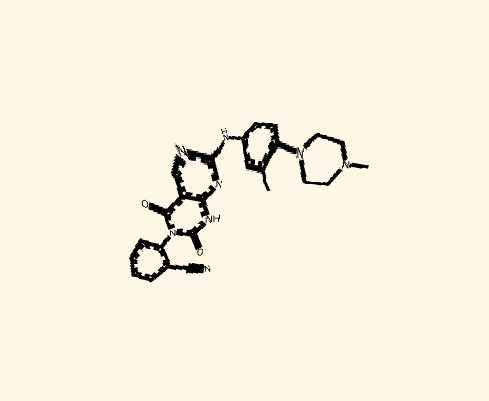 Cc1cc(Nc2ncc3c(=O)n(-c4ccccc4C#N)c(=O)[nH]c3n2)ccc1N1CCN(C)CC1